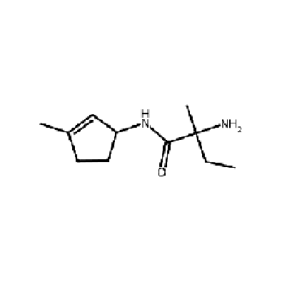 CCC(C)(N)C(=O)NC1C=C(C)CC1